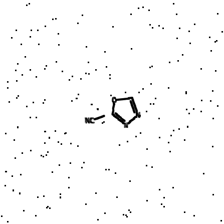 CC#N.c1nnco1